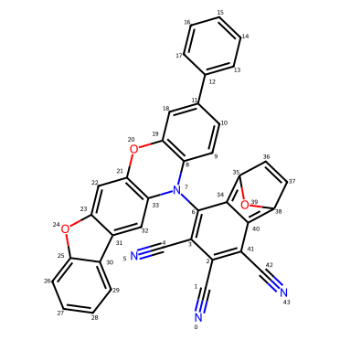 N#Cc1c(C#N)c(N2c3ccc(-c4ccccc4)cc3Oc3cc4oc5ccccc5c4cc32)c2c3ccc(o3)c2c1C#N